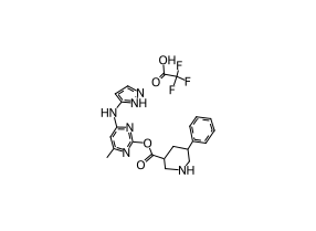 Cc1cc(Nc2ccn[nH]2)nc(OC(=O)C2CNCC(c3ccccc3)C2)n1.O=C(O)C(F)(F)F